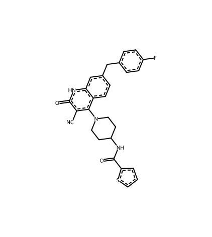 N#Cc1c(N2CCC(NC(=O)c3cccs3)CC2)c2ccc(Cc3ccc(F)cc3)cc2[nH]c1=O